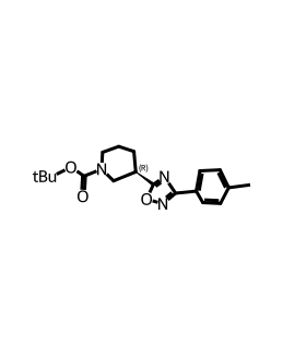 Cc1ccc(-c2noc([C@@H]3CCCN(C(=O)OC(C)(C)C)C3)n2)cc1